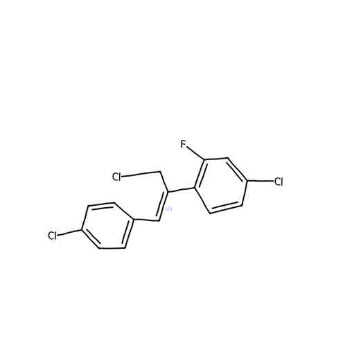 Fc1cc(Cl)ccc1/C(=C/c1ccc(Cl)cc1)CCl